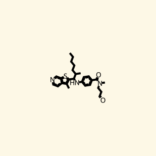 CCCCCC(C)C(Nc1ccc(C(=O)N(C)CCC=O)cc1)c1sc2cnccc2c1C